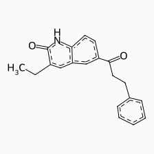 CCc1cc2cc(C(=O)CCc3ccccc3)ccc2[nH]c1=O